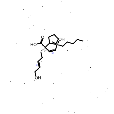 CCCCCC(C)(O)/C=C\[C@@](CC/C=C/CO)(C(=O)O)C1CCCC1